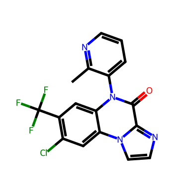 Cc1ncccc1-n1c(=O)c2nccn2c2cc(Cl)c(C(F)(F)F)cc21